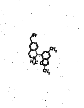 Cc1cc(C2c3ccc(CC(C)C)cc3C=CN2C)c2oc(C)cc2c1